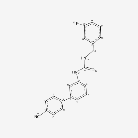 N#Cc1ccc(-c2cccc(NC(=O)NCc3cccc(F)c3)c2)cc1